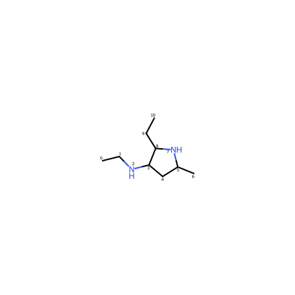 CCNC1CC(C)NC1CC